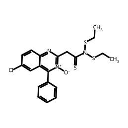 CCSN(SCC)C(=S)Cc1nc2ccc(Cl)cc2c(-c2ccccc2)[n+]1[O-]